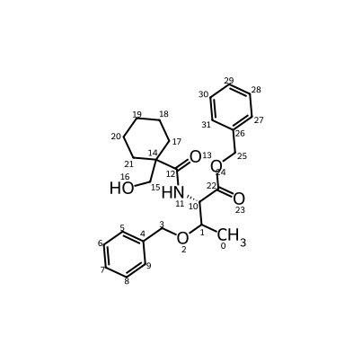 CC(OCc1ccccc1)[C@H](NC(=O)C1(CO)CCCCC1)C(=O)OCc1ccccc1